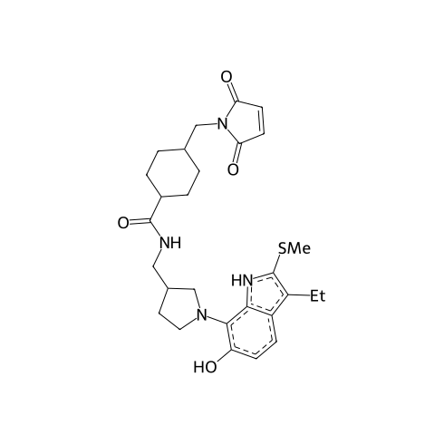 CCc1c(SC)[nH]c2c(N3CCC(CNC(=O)C4CCC(CN5C(=O)C=CC5=O)CC4)C3)c(O)ccc12